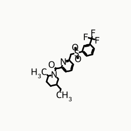 CCC1CCC(C)N(C(=O)c2cccc(CS(=O)(=O)c3cccc(C(F)(F)F)c3)n2)C1